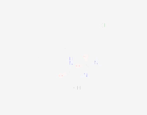 CC(C(=O)NC1C2CC3CC(C2)CC1C3)N1CCCN(c2ccc(Cl)cc2)S1(=O)=O